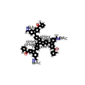 CCCCCCC1(CCCCCC)c2cc(C3c4ccc(C(=O)c5ccccc5C)cc4-c4cc(/C(C)=N\OC(C)=O)ccc43)ccc2-c2c1c1c(c3c2C(CCCCCC)(CCCCCC)c2cc(C4c5ccc(C(=O)c6ccccc6C)cc5-c5cc(/C(C)=N/OC(C)=O)ccc54)ccc2-3)C(CCCCCC)(CCCCCC)c2cc(C3c4ccc(C(=O)c5ccccc5C)cc4-c4cc(/C(C)=N/OC(C)=O)ccc43)ccc2-1